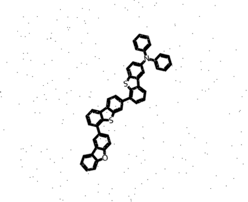 c1ccc(N(c2ccccc2)c2ccc3sc4c(-c5ccc6c(c5)sc5c(-c7ccc8oc9ccccc9c8c7)cccc56)cccc4c3c2)cc1